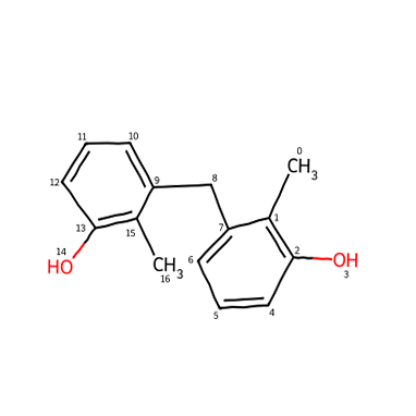 Cc1c(O)cccc1Cc1cccc(O)c1C